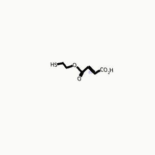 O=C(O)/C=C/C(=O)OCCS